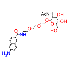 CC(=O)NC1C(O)[C@@H](O)C(CO)O[C@H]1OCCOCCOCCNC(=O)c1ccc2cc(N)ccc2c1